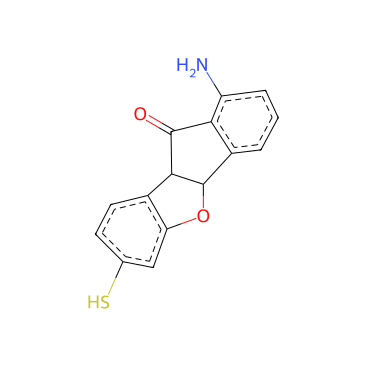 Nc1cccc2c1C(=O)C1c3ccc(S)cc3OC21